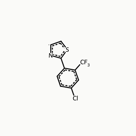 FC(F)(F)c1cc(Cl)ccc1-c1n[c]cs1